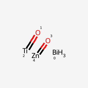 [BiH3].[O]=[Ti].[O]=[Zn]